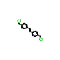 ClCc1ccc(/C=C/c2ccc(CCl)cc2)cc1